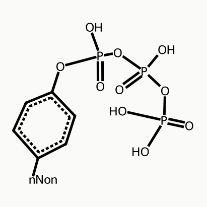 CCCCCCCCCc1ccc(OP(=O)(O)OP(=O)(O)OP(=O)(O)O)cc1